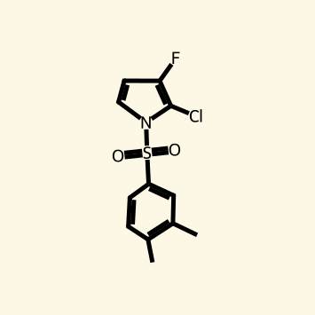 Cc1ccc(S(=O)(=O)n2ccc(F)c2Cl)cc1C